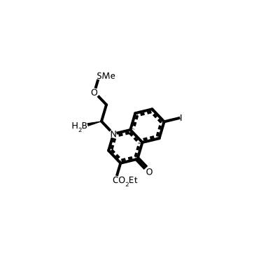 B[C@@H](COSC)n1cc(C(=O)OCC)c(=O)c2cc(I)ccc21